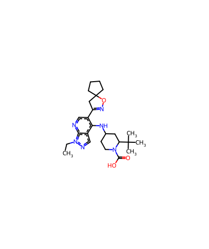 CCn1ncc2c(NC3CCN(C(=O)O)C(C(C)(C)C)C3)c(C3=NOC4(CCCC4)C3)cnc21